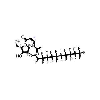 CC(=O)/C=C\N(C(C)=O)[C@@H]1O[C@H](CO)C(O)[C@@H]1OCC(F)C(F)(F)C(F)(F)C(F)(F)C(F)(F)C(F)(F)C(F)(F)C(F)(F)C(F)(F)C(F)(F)F